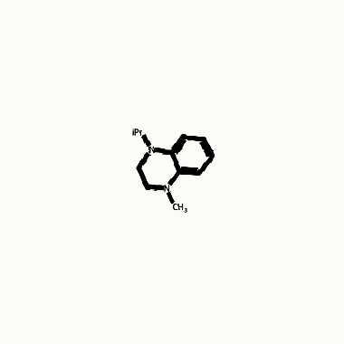 CC(C)N1CCN(C)c2ccccc21